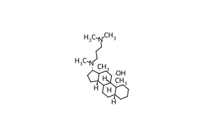 CN(C)CCCN(C)[C@H]1CC[C@H]2[C@@H]3CC[C@H]4CCCC[C@]4(C)[C@H]3[C@@H](O)C[C@]12C